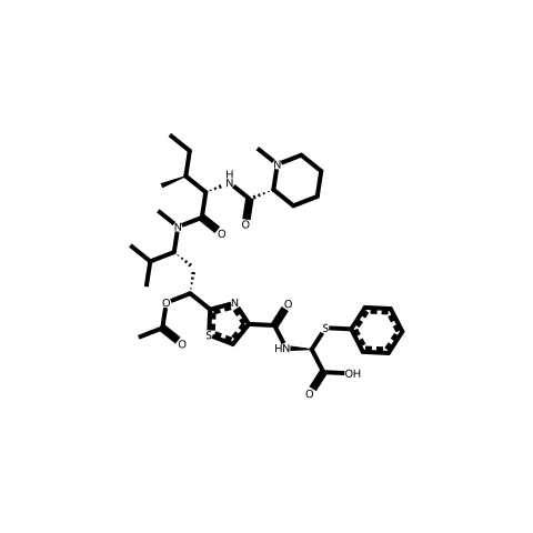 CC[C@H](C)[C@H](NC(=O)[C@H]1CCCCN1C)C(=O)N(C)[C@H](C[C@@H](OC(C)=O)c1nc(C(=O)N[C@@H](Sc2ccccc2)C(=O)O)cs1)C(C)C